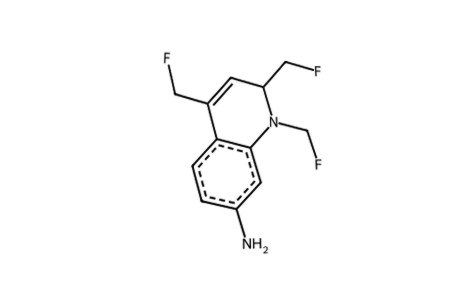 Nc1ccc2c(c1)N(CF)C(CF)C=C2CF